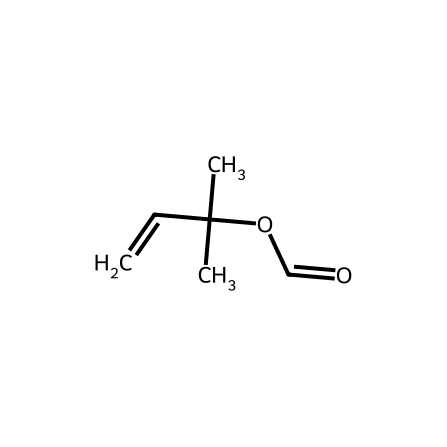 C=CC(C)(C)OC=O